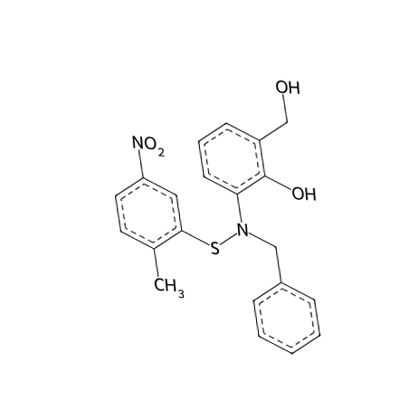 Cc1ccc([N+](=O)[O-])cc1SN(Cc1ccccc1)c1cccc(CO)c1O